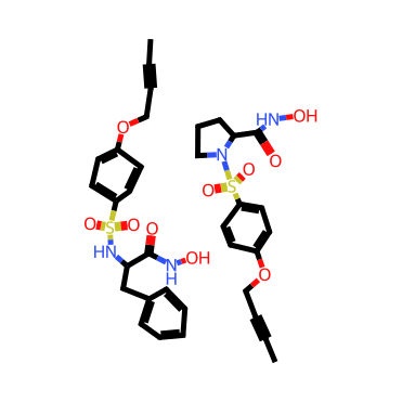 CC#CCOc1ccc(S(=O)(=O)N2CCCC2C(=O)NO)cc1.CC#CCOc1ccc(S(=O)(=O)NC(Cc2ccccc2)C(=O)NO)cc1